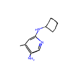 Cc1cc(NC2CCC2)ncc1N